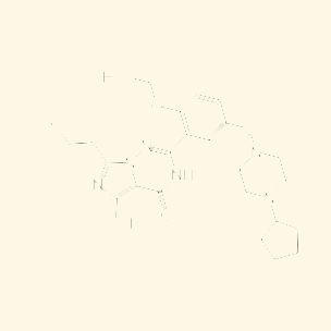 CCCc1nc(C)c2c(=O)[nH]c(-c3cc(SN4CCN(C5CCCC5)CC4)ccc3OCC)nn12